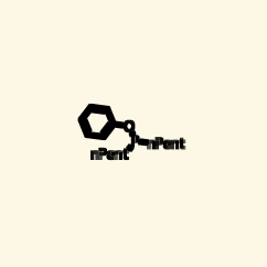 CCCCCP(CCCCC)Oc1ccccc1